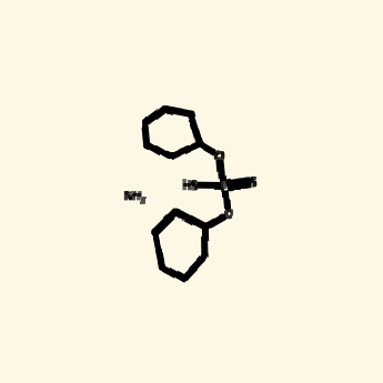 N.S=P(S)(OC1CCCCC1)OC1CCCCC1